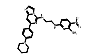 Nc1nc(NCCNc2nc(-c3ccc(N4CCCCC4)cc3)cc3nccn23)ccc1[N+](=O)[O-]